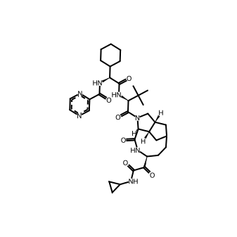 CC(C)(C)[C@H](NC(=O)[C@@H](NC(=O)c1cnccn1)C1CCCCC1)C(=O)N1C[C@@H]2CC3CC[C@@H](C(=O)C(=O)NC4CC4)NC(=O)[C@@H]1[C@H]2C3